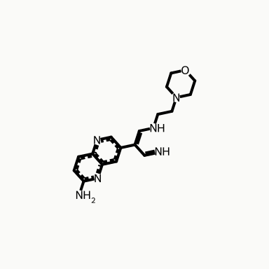 N=C/C(=C\NCCN1CCOCC1)c1cnc2ccc(N)nc2c1